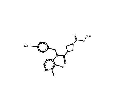 COc1ccc(CN(C(=O)C2CN(C(=O)OC(C)(C)C)C2)c2cccc(F)c2Br)cc1